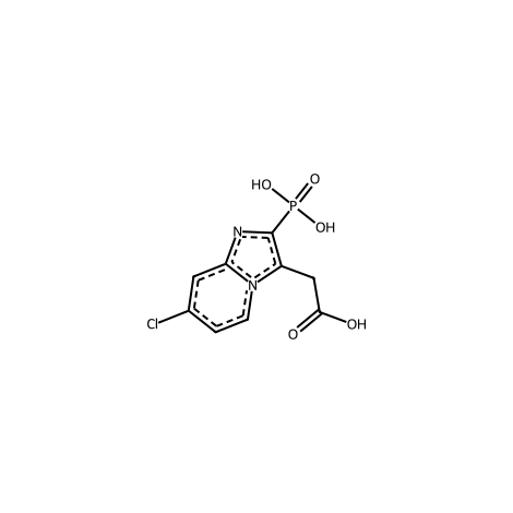 O=C(O)Cc1c(P(=O)(O)O)nc2cc(Cl)ccn12